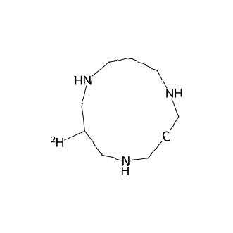 [2H]C1CNCCCNCCCNC1